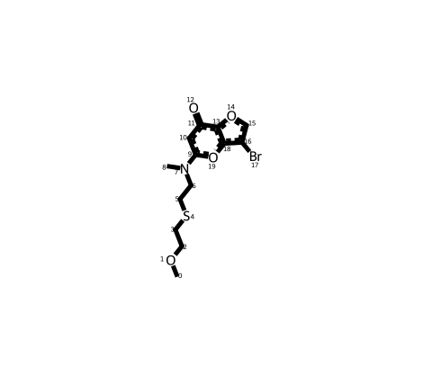 COCCSCCN(C)c1cc(=O)c2occ(Br)c2o1